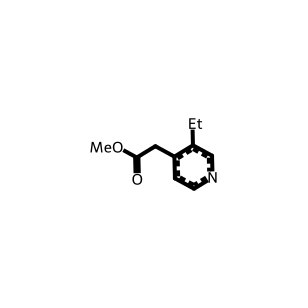 CCc1cnccc1CC(=O)OC